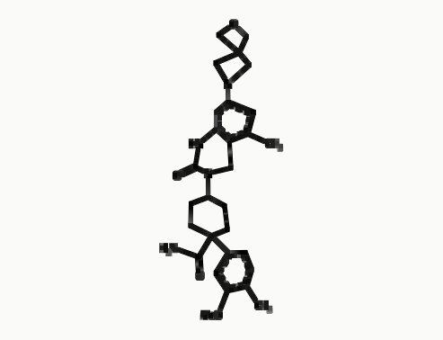 COc1cc(C2(C(N)=O)CCC(N3Cc4c(C)cc(N5CC6(COC6)C5)cc4NC3=O)CC2)ccc1C